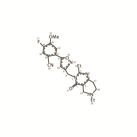 CCc1nc2c(c(=O)n1Cc1cc(-c3cc(OC)c(F)cc3C#N)on1)CN(CC)CC2